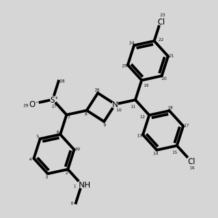 CNc1cccc(C(C2CN(C(c3ccc(Cl)cc3)c3ccc(Cl)cc3)C2)[S+](C)[O-])c1